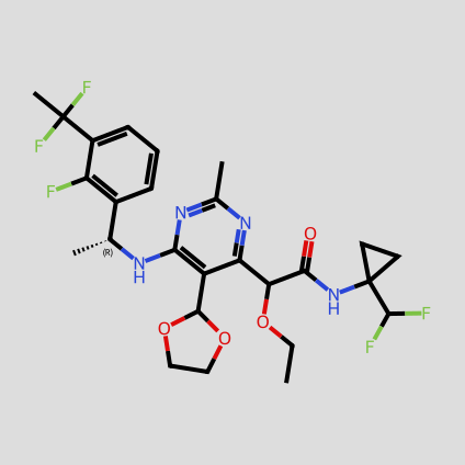 CCOC(C(=O)NC1(C(F)F)CC1)c1nc(C)nc(N[C@H](C)c2cccc(C(C)(F)F)c2F)c1C1OCCO1